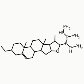 CCC1CCC2(C)C(=CCC3C2CCC2(C)C3CC3OC(P(PP)P(P)PP)C(C)C32)C1